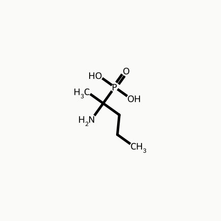 CCCC(C)(N)P(=O)(O)O